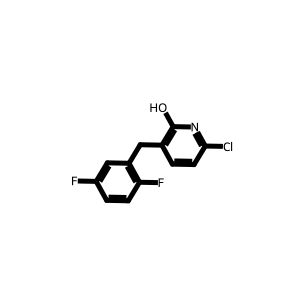 Oc1nc(Cl)ccc1Cc1cc(F)ccc1F